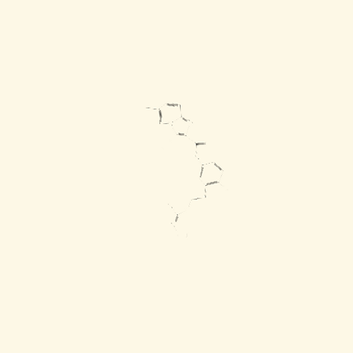 C/N=C(/N)OCCc1cc(NC(=O)c2nc3ccc(Cl)cn3c2C)ccc1F